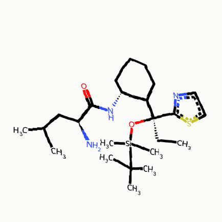 CC[C@@](O[Si](C)(C)C(C)(C)C)(c1nccs1)C1CCCC[C@H]1NC(=O)[C@@H](N)CC(C)C